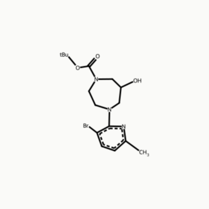 Cc1ccc(Br)c(N2CCN(C(=O)OC(C)(C)C)CC(O)C2)n1